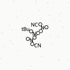 CC(C)(C)c1ccc(-n2c3cc(N(c4ccccc4)c4cccc(C#N)c4)ccc3c3cc4ccc(N(c5ccccc5)c5cccc(C#N)c5)cc4cc32)cc1